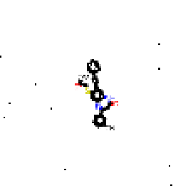 COC(=O)CSc1cc2c(cc1C#Cc1ccccc1)NC(=O)CC(c1cccc(C#N)c1)=N2